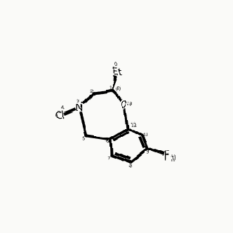 CC[C@@H]1CN(Cl)Cc2ccc(F)cc2O1